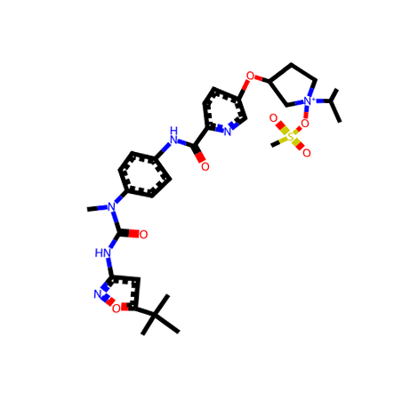 CC(C)[N+]1(OS(C)(=O)=O)CCC(Oc2ccc(C(=O)Nc3ccc(N(C)C(=O)Nc4cc(C(C)(C)C)on4)cc3)nc2)C1